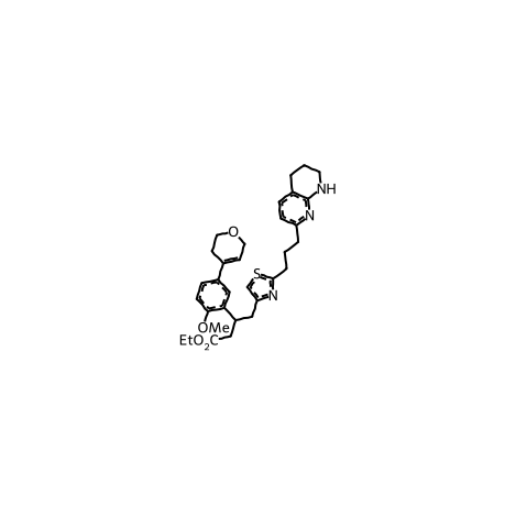 CCOC(=O)CC(Cc1csc(CCCc2ccc3c(n2)NCCC3)n1)c1cc(C2=CCOCC2)ccc1OC